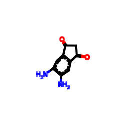 Nc1cc2c(cc1N)C(=O)CC2=O